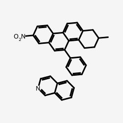 CC1CCc2c(ccc3c2c(-c2ccccc2)cc2cc([N+](=O)[O-])ccc23)C1.c1ccc2cnccc2c1